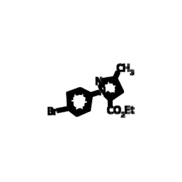 CCOC(=O)c1cc(C)nn1-c1ccc(Br)cc1